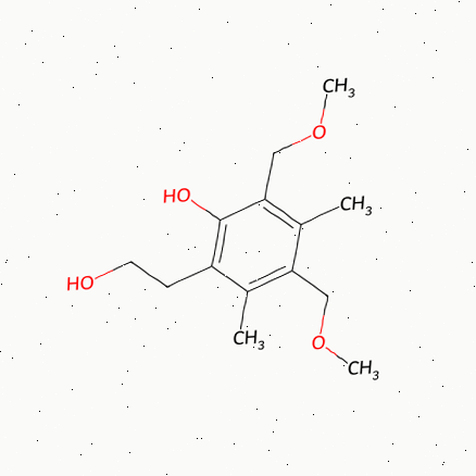 COCc1c(C)c(CCO)c(O)c(COC)c1C